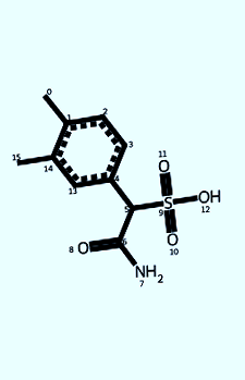 Cc1ccc(C(C(N)=O)S(=O)(=O)O)cc1C